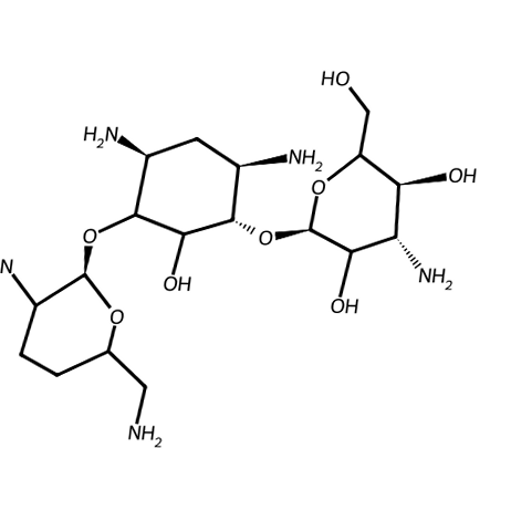 NCC1CCC(N)[C@@H](OC2C(O)[C@@H](O[C@H]3OC(CO)[C@@H](O)[C@H](N)C3O)[C@H](N)C[C@@H]2N)O1